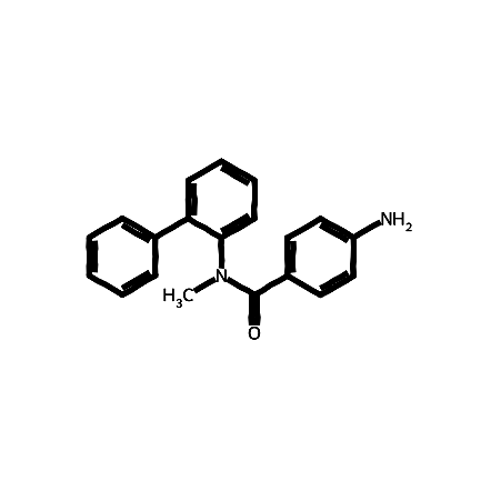 CN(C(=O)c1ccc(N)cc1)c1ccccc1-c1ccccc1